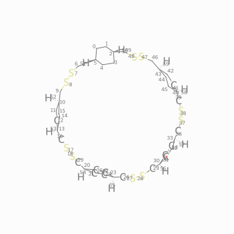 C1C[C@H]2CC[C@@H]1CSSC[C@@H]1CC[C@@H](CC1)CSSC[C@@H]1CC[C@@H](CC1)CSSC[C@@H]1CC[C@@H](CC1)CSSC[C@@H]1CC[C@@H](CC1)CSSC2